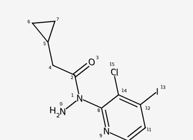 NN(C(=O)CC1CC1)c1nccc(I)c1Cl